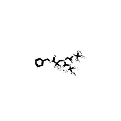 CC(C)(C)OC(=O)CN(CC(C)(N)C(=O)OCc1ccccc1)C(=O)OC(C)(C)C